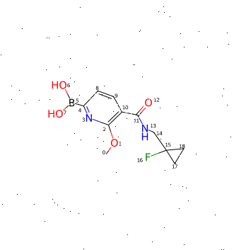 COc1nc(B(O)O)ccc1C(=O)NCC1(F)CC1